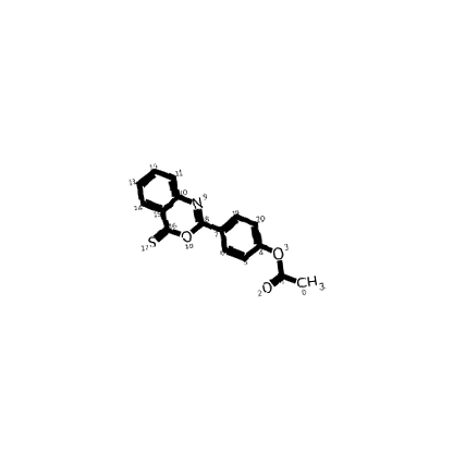 CC(=O)Oc1ccc(-c2nc3ccccc3c(=S)o2)cc1